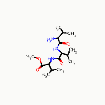 COC(=O)C(NC(=O)C(NC(=O)C(N)C(C)C)C(C)C)C(C)C